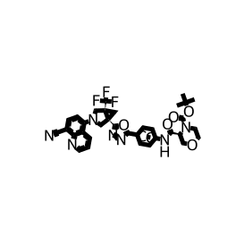 CC(C)(C)OC(=O)N1CCOC[C@H]1C(=O)NC12CCC(c3nnc([C@]45CN(c6ccc(C#N)c7ncccc67)C[C@@]4(C(F)(F)F)C5)o3)(CC1)CC2